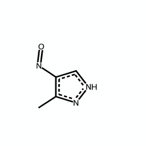 Cc1n[nH]cc1N=O